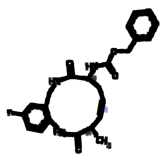 C[C@@H]1/C=C\C[C@H](NC(=O)OCc2ccccc2)C(=O)NCc2cc(F)ccc2NC1=O